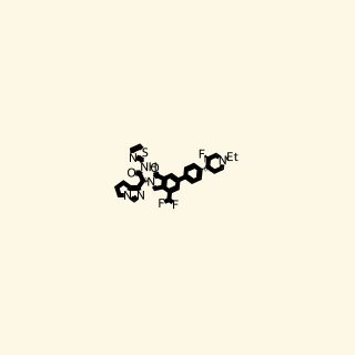 CCN1CC[C@H](c2ccc(-c3cc4c(c(C(F)F)c3)CN([C@@H](C(=O)Nc3nccs3)c3ncn5c3CCC5)C4=O)cc2)[C@@H](F)C1